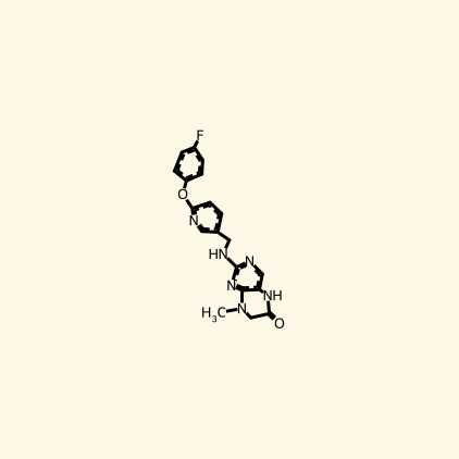 CN1CC(=O)Nc2cnc(NCc3ccc(Oc4ccc(F)cc4)nc3)nc21